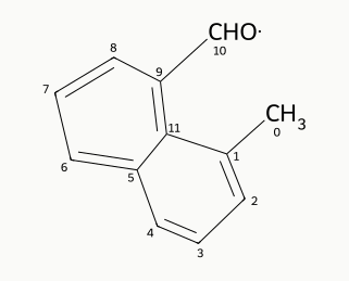 Cc1cccc2cccc([C]=O)c12